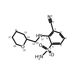 N#Cc1cccc(S(N)(=O)=O)c1NCC1CCCCO1